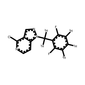 [2H]c1c([2H])c(F)c(C([2H])([2H])n2ncc3c(Cl)nccc32)c(F)c1[2H]